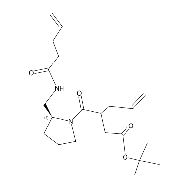 C=CCCC(=O)NC[C@@H]1CCCN1C(=O)C(CC=C)CC(=O)OC(C)(C)C